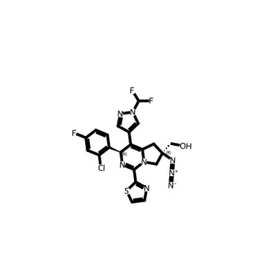 [N-]=[N+]=N[C@]1(CO)CC2=C(c3cnn(C(F)F)c3)[C@H](c3ccc(F)cc3Cl)N=C(c3nccs3)N2C1